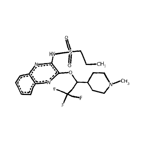 CCCS(=O)(=O)Nc1nc2ccccc2nc1OC(C1CCN(C)CC1)C(F)(F)F